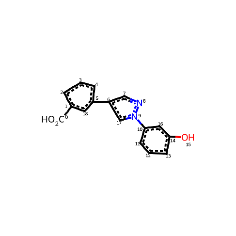 O=C(O)c1cccc(-c2cnn(-c3cccc(O)c3)c2)c1